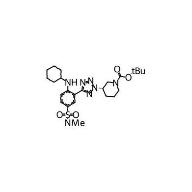 CNS(=O)(=O)c1ccc(NC2CCCCC2)c(-c2nnn([C@H]3CCCN(C(=O)OC(C)(C)C)C3)n2)c1